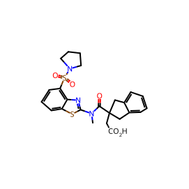 CN(C(=O)C1(CC(=O)O)Cc2ccccc2C1)c1nc2c(S(=O)(=O)N3CCCC3)cccc2s1